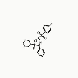 Cc1ccc(S(=O)(=O)ON=C(c2ccccc2)C(F)(Cl)C2CCCCC2)cc1